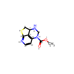 COC(=O)N1CNC2CSc3nccc1c32